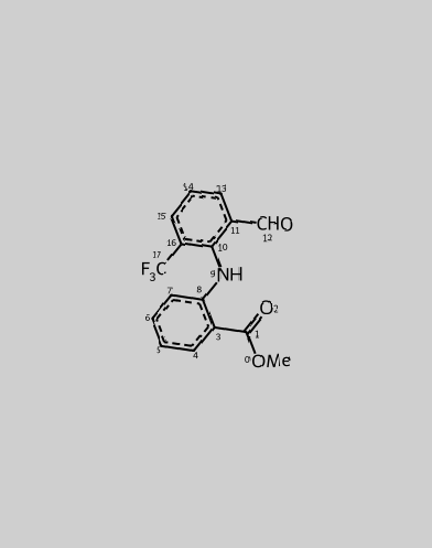 COC(=O)c1ccccc1Nc1c(C=O)cccc1C(F)(F)F